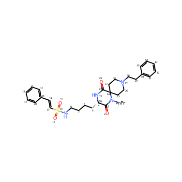 CCCN1C(=O)[C@H](CCCCNS(=O)(=O)C=Cc2ccccc2)NC(=O)C12CCN(CCc1ccccc1)CC2